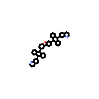 c1cnc2cc(-c3c4ccccc4c(-c4ccc5c(c4)oc4ccc(-c6c7ccccc7c(-c7ccc8cccnc8c7)c7ccccc67)cc45)c4ccccc34)ccc2c1